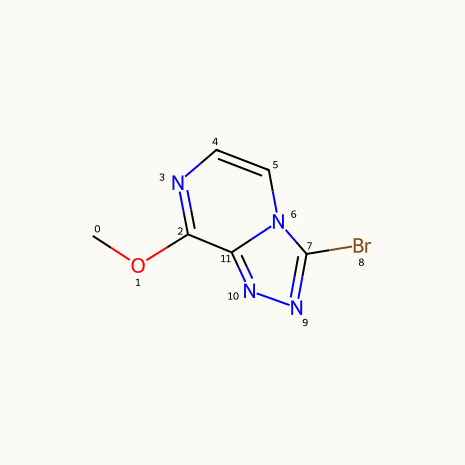 COc1nccn2c(Br)nnc12